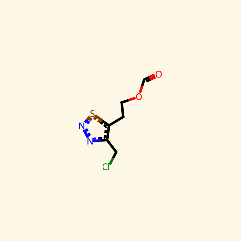 O=COCCc1snnc1CCl